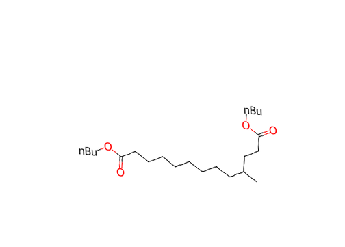 CCCCOC(=O)CCCCCCCCC(C)CCC(=O)OCCCC